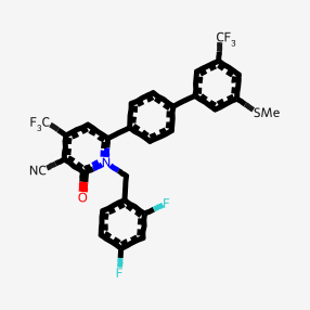 CSc1cc(-c2ccc(-c3cc(C(F)(F)F)c(C#N)c(=O)n3Cc3ccc(F)cc3F)cc2)cc(C(F)(F)F)c1